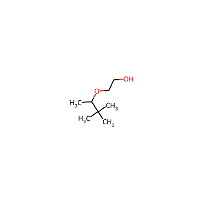 CC(OCCO)C(C)(C)C